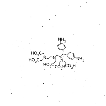 Nc1ccc(C(c2ccc(N)cc2)C(CN(CCN(CC(=O)O)CC(=O)O)CC(=O)O)N(CC(=O)O)CC(=O)O)cc1